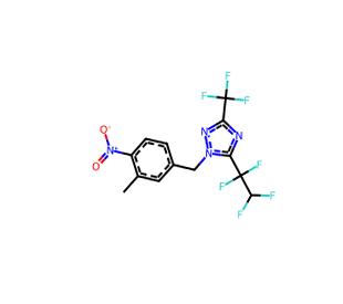 Cc1cc(Cn2nc(C(F)(F)F)nc2C(F)(F)C(F)F)ccc1[N+](=O)[O-]